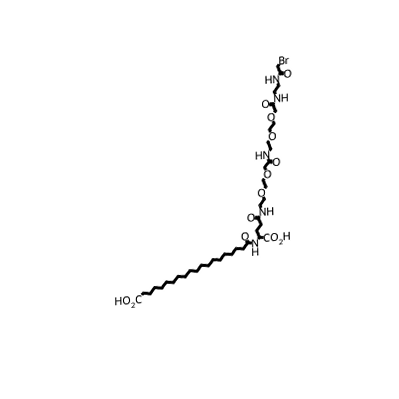 O=C(O)CCCCCCCCCCCCCCCCCCC(=O)NC(CCC(=O)NCCOCCOCC(=O)NCCOCCOCC(=O)NCCNC(=O)CBr)C(=O)O